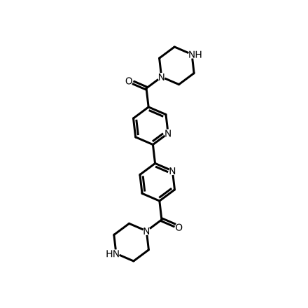 O=C(c1ccc(-c2ccc(C(=O)N3CCNCC3)cn2)nc1)N1CCNCC1